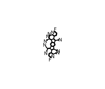 N#CC(C#N)=C1C(c2ccc(F)nc2C#N)=C(C#N)c2cc3c(cc21)C(=C(C#N)C#N)C(c1ccc(F)nc1C#N)=C3C#N